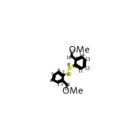 COCc1ccccc1SSc1ccccc1COC